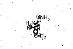 CC1(C)CCc2c(nc3sc(COC(N)=O)c(N)c3c2-c2cncs2)C1